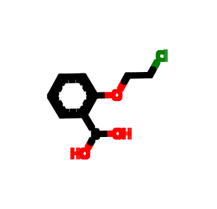 OB(O)c1ccccc1OCCCl